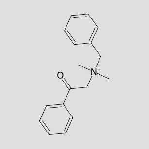 C[N+](C)(CC(=O)c1ccccc1)Cc1ccccc1